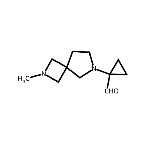 CN1CC2(CCN(C3(C=O)CC3)C2)C1